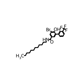 CCCCCCCCCCCCNC(=O)c1cc(Br)c(O)c(-c2cccc(C(F)(F)F)c2)c1